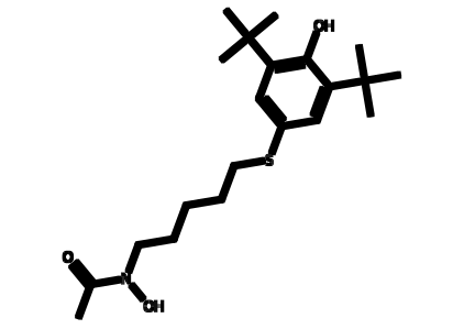 CC(=O)N(O)CCCCCSc1cc(C(C)(C)C)c(O)c(C(C)(C)C)c1